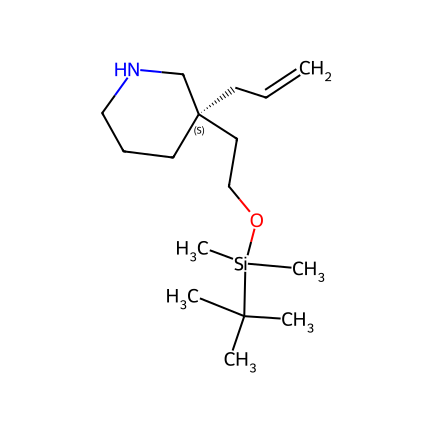 C=CC[C@]1(CCO[Si](C)(C)C(C)(C)C)CCCNC1